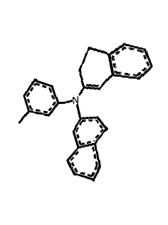 Cc1cccc(N(C2=Cc3ccccc3CC2)c2ccc3ccccc3c2)c1